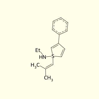 CCNS1(C=C(C)C)C=CC(c2ccccc2)=C1